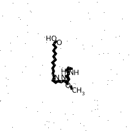 CCCOc1cc(-c2ccc[nH]2)[nH]c1C=C1C=CC(CCCCCCCCCCCC(=O)O)=N1